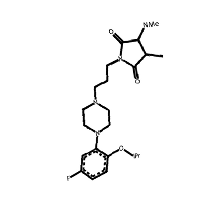 CNC1C(=O)N(CCCN2CCN(c3cc(F)ccc3OC(C)C)CC2)C(=O)C1C